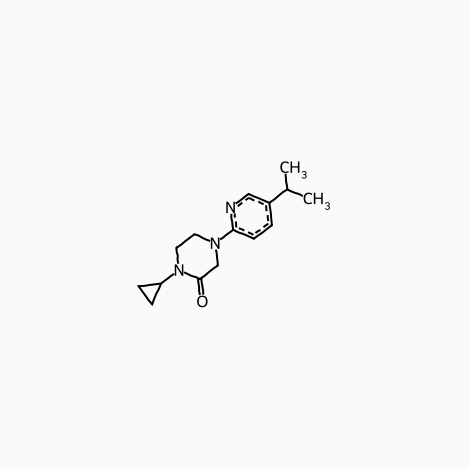 CC(C)c1ccc(N2CCN(C3CC3)C(=O)C2)nc1